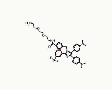 CN(C)c1ccc(-c2nc(-c3cccc(C(F)(F)F)c3)n(Cc3ccc(C(=O)NCCOCCOCCN)cc3)c2-c2ccc(N(C)C)cc2)cc1